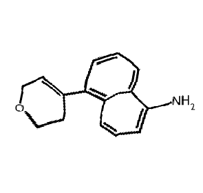 Nc1cccc2c(C3=CCOCC3)cccc12